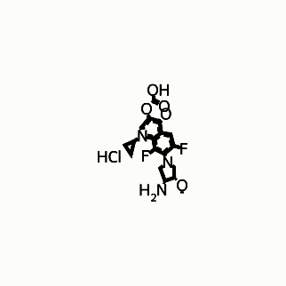 CO[C@@H]1CN(c2c(F)cc3c(=O)c(OC(=O)O)cn(C4CC4)c3c2F)C[C@@H]1N.Cl